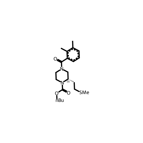 CCCCOC(=O)N1CCN(C(=O)c2cccc(C)c2C)C[C@@H]1CCSC